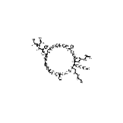 C=C=C=C=C1C(CCCCC)CCOC(=O)CCCCCCCC(OC(=O)CN(CC)CC)CCCCCCCC(=O)OCCC1CCCCC